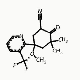 COC1(c2ncccc2C(F)(F)F)CC(C#N)C(=O)C(C)(C)C1